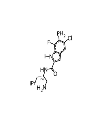 CC(C)C[C@@H](CN)NC(=O)c1cc2cc(Cl)c(P)c(F)c2n1I